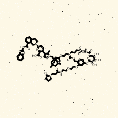 Cc1c(-c2ccc(N3CCc4cccc(C(=O)Nc5nc6ccccc6s5)c4C3)nc2C(=O)O)cnn1CC12CC3(C)CC(C)(C1)CC(OCCN(CCCS(=O)(=O)O)C(=O)OCc1ccc(O[C@@H]4O[C@H](C(=O)O)[C@@H](O)[C@H](O)[C@H]4O)cc1OCCOCCNC(=O)CCN1CC=CC1=O)(C3)C2